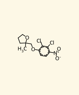 CC1(COc2ccc([N+](=O)[O-])c(Cl)c2Cl)CCCO1